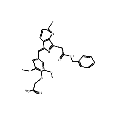 COc1cc(C=C2N=C(CC(=O)NCc3ccccc3)c3nc(F)ccc32)cc(OC)c1SCC(=O)O